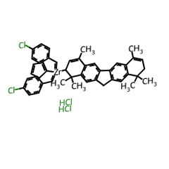 CC1=CCC(C)(C)c2cc3c(cc21)-c1cc2c(cc1C3)C(C)(C)[CH]([Zr](=[CH]c1ccc(Cl)cc1)(=[CH]c1ccc(Cl)cc1)[C]1=CC=CC1)C=C2C.Cl.Cl